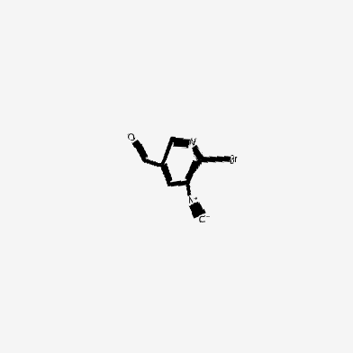 [C-]#[N+]c1cc(C=O)cnc1Br